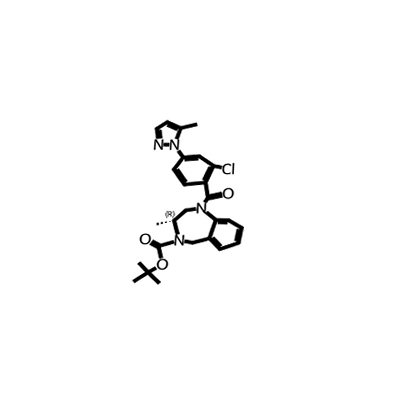 Cc1ccnn1-c1ccc(C(=O)N2C[C@@H](C)N(C(=O)OC(C)(C)C)Cc3ccccc32)c(Cl)c1